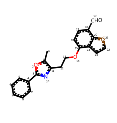 Cc1oc(-c2ccccc2)nc1CCOc1ccc(C=O)c2sccc12